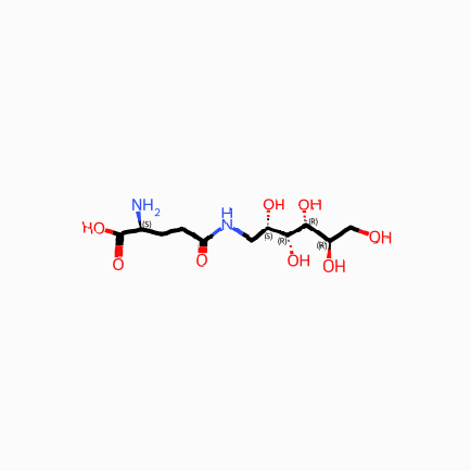 N[C@@H](CCC(=O)NC[C@H](O)[C@@H](O)[C@H](O)[C@H](O)CO)C(=O)O